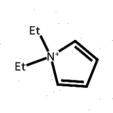 CC[N+]1(CC)C=CC=C1